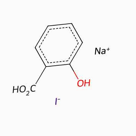 O=C(O)c1ccccc1O.[I-].[Na+]